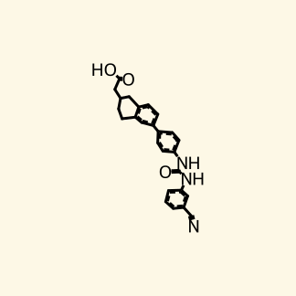 N#Cc1cccc(NC(=O)Nc2ccc(-c3ccc4c(c3)CCC(CC(=O)O)C4)cc2)c1